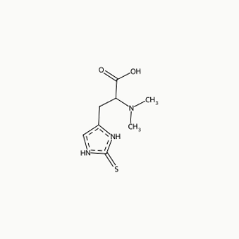 CN(C)C(Cc1c[nH]c(=S)[nH]1)C(=O)O